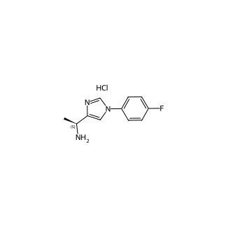 C[C@H](N)c1cn(-c2ccc(F)cc2)cn1.Cl